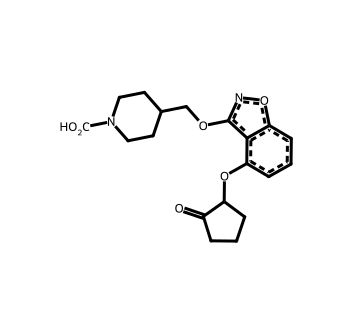 O=C1CCCC1Oc1cccc2onc(OCC3CCN(C(=O)O)CC3)c12